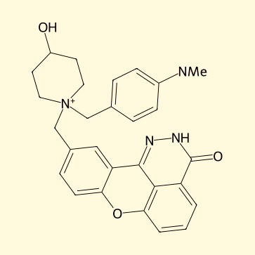 CNc1ccc(C[N+]2(Cc3ccc4c(c3)-c3n[nH]c(=O)c5cccc(c35)O4)CCC(O)CC2)cc1